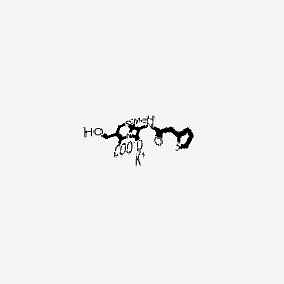 CSC12SCC(CO)=C(C(=O)[O-])N1C(=O)C2NC(=O)Cc1cccs1.[K+]